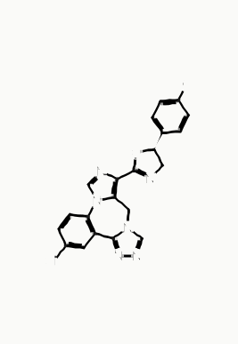 Clc1ccc([C@H]2CN=C(c3ncn4c3Cn3cnnc3-c3cc(Cl)ccc3-4)O2)cc1